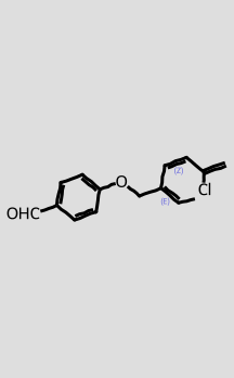 C=C(Cl)/C=C\C(=C/C)COc1ccc(C=O)cc1